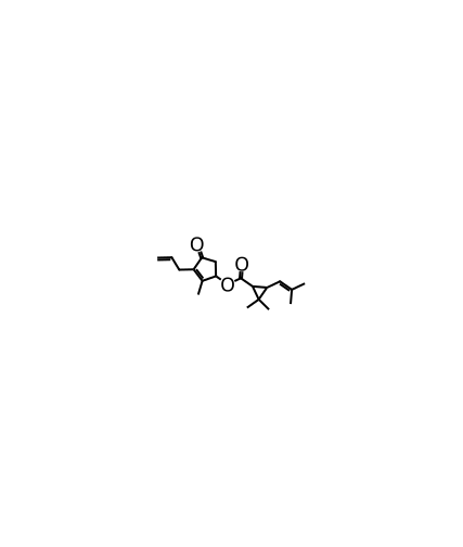 C=CCC1=C(C)C(OC(=O)C2C(C=C(C)C)C2(C)C)CC1=O